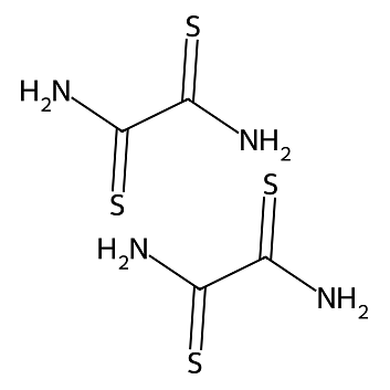 NC(=S)C(N)=S.NC(=S)C(N)=S